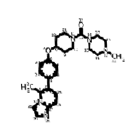 Cc1c(-c2ccc(OC3CCN(C(=O)N4CCN(C)CC4)CC3)cc2)ccc2nccn12